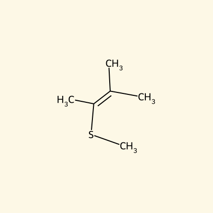 CSC(C)=C(C)C